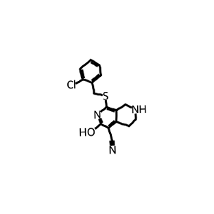 N#Cc1c(O)nc(SCc2ccccc2Cl)c2c1CCNC2